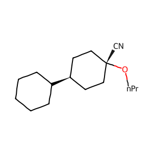 CCCO[C@]1(C#N)CC[C@@H](C2CCCCC2)CC1